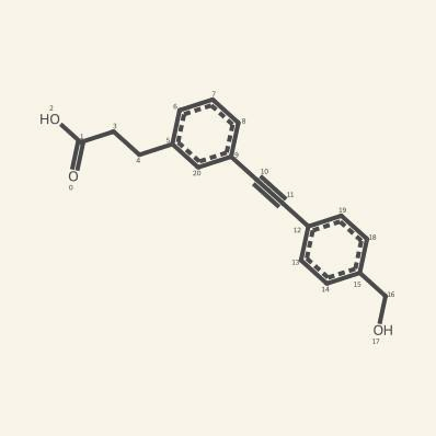 O=C(O)CCc1cccc(C#Cc2ccc(CO)cc2)c1